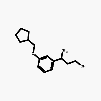 NC(CCO)c1cccc(OCC2CCCC2)c1